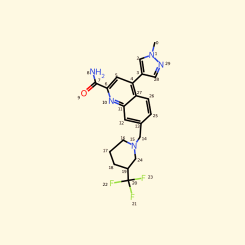 Cn1cc(-c2cc(C(N)=O)nc3cc(CN4CCCC(C(F)(F)F)C4)ccc23)cn1